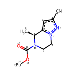 C[C@H]1c2cc(C#N)nn2CCN1C(=O)OC(C)(C)C